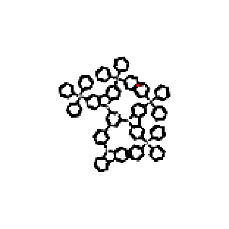 c1ccc([Si](c2ccccc2)(c2ccccc2)c2ccc3c(c2)c2cc([Si](c4ccccc4)(c4ccccc4)c4ccccc4)ccc2n3-c2cc(-c3cccc(-n4c5ccccc5c5ccccc54)c3)cc(-n3c4ccc([Si](c5ccccc5)(c5ccccc5)c5ccccc5)cc4c4cc([Si](c5ccccc5)(c5ccccc5)c5ccccc5)ccc43)n2)cc1